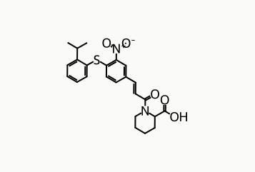 CC(C)c1ccccc1Sc1ccc(C=CC(=O)N2CCCCC2C(=O)O)cc1[N+](=O)[O-]